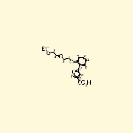 CCOCCOCCOc1ccccc1-c1cc(C(=O)O)no1